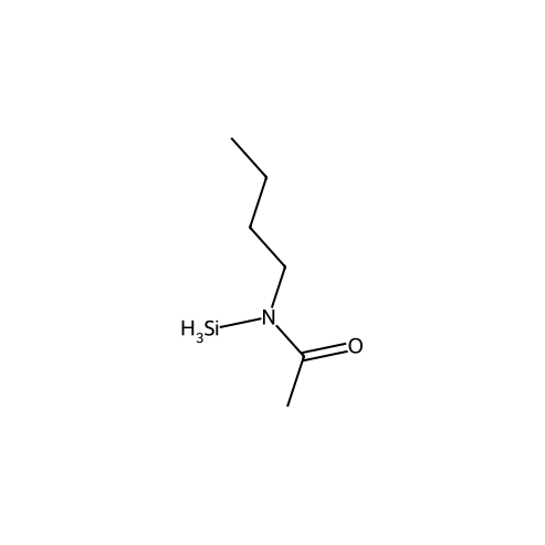 CCCCN([SiH3])C(C)=O